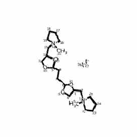 C[N+]1(CC2COC(CCC3OCC(C[N+]4(C)CCCC4)O3)O2)CCCC1.[I-].[I-]